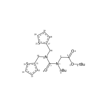 CCCCN(CC(=O)OC(C)(C)C)C(=O)N(Cc1cccs1)Cc1cccs1